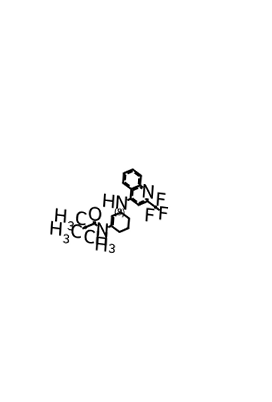 CC(C)(C)C(=O)NC1=C[C@@H](Nc2cc(C(F)(F)F)nc3ccccc23)CCC1